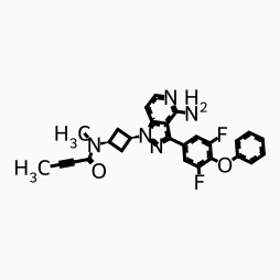 CC#CC(=O)N(C)[C@H]1C[C@@H](n2nc(-c3cc(F)c(Oc4ccccc4)c(F)c3)c3c(N)nccc32)C1